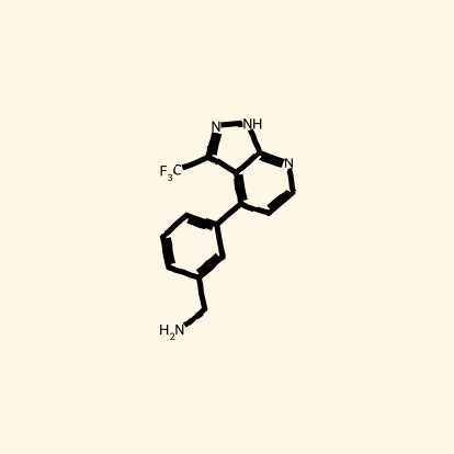 NCc1cccc(-c2ccnc3[nH]nc(C(F)(F)F)c23)c1